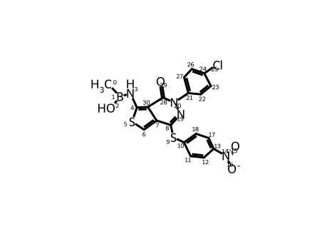 CB(O)Nc1scc2c(Sc3ccc([N+](=O)[O-])cc3)nn(-c3ccc(Cl)cc3)c(=O)c12